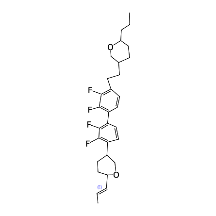 C/C=C/C1CCC(c2ccc(-c3ccc(CCC4CCC(CCC)OC4)c(F)c3F)c(F)c2F)CO1